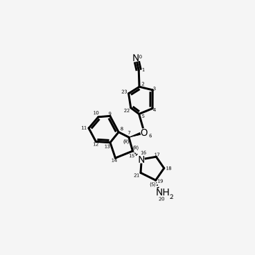 N#Cc1ccc(O[C@@H]2c3ccccc3C[C@H]2N2CC[C@H](N)C2)cc1